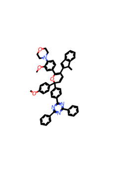 COc1ccc(C2(c3ccc(-c4nc(-c5ccccc5)nc(-c5ccccc5)n4)cc3)C=CC(C3=Cc4ccccc4C3C)=C(c3ccc(N4CCOCC4)c(OC)c3)O2)cc1